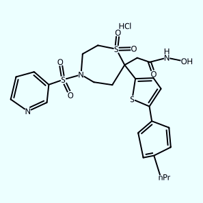 CCCc1ccc(-c2ccc(C3(CC(=O)NO)CCN(S(=O)(=O)c4cccnc4)CCS3(=O)=O)s2)cc1.Cl